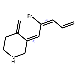 C=C/C=C(\C=C1\CNCCC1=C)C(C)C